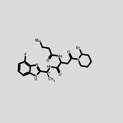 CCC1CCCCN1C(=O)CC(NC(=O)CCC(C)(C)C)C(=O)N[C@@H](C)c1nc2c(F)cccc2[nH]1